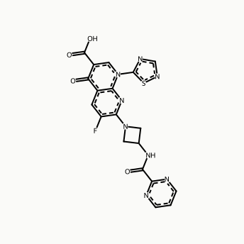 O=C(NC1CN(c2nc3c(cc2F)c(=O)c(C(=O)O)cn3-c2ncns2)C1)c1ncccn1